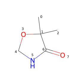 CC1(C)OCNC1=O